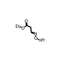 CCCON=CCC(=O)OCC